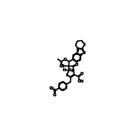 CC(=O)OC(c1ccc2nc3n(c2c1)CCCS3)C1(Br)C(=O)N2C(C(=O)O)=C(Cc3ccc([N+](=O)[O-])cc3)S[C@@H]21